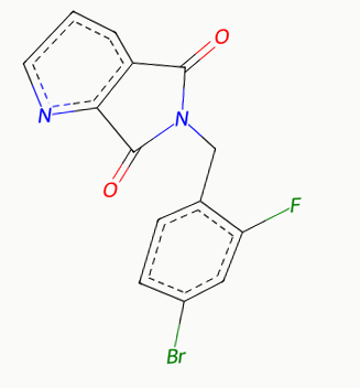 O=C1c2cccnc2C(=O)N1Cc1ccc(Br)cc1F